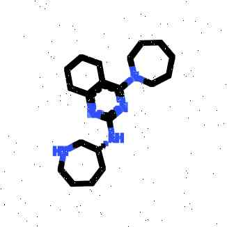 C1CCCN(c2nc(N[C@@H]3CCCCNC3)nc3c2CCCC3)CC1